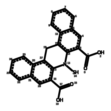 O=C(O)c1cc2ccccc2c2c1N(S)c1c(C(=O)O)cc3ccccc3c1C2